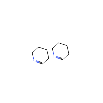 C1=NCCCC1.C1=NCCCC1